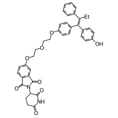 CC/C(=C(\c1ccc(O)cc1)c1ccc(OCCOCCOc2ccc3c(c2)C(=O)N(C2CCC(=O)NC2=O)C3=O)cc1)c1ccccc1